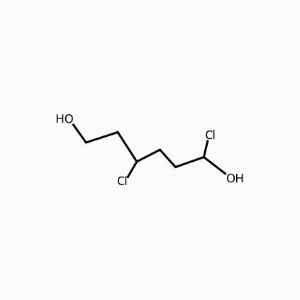 OCCC(Cl)CCC(O)Cl